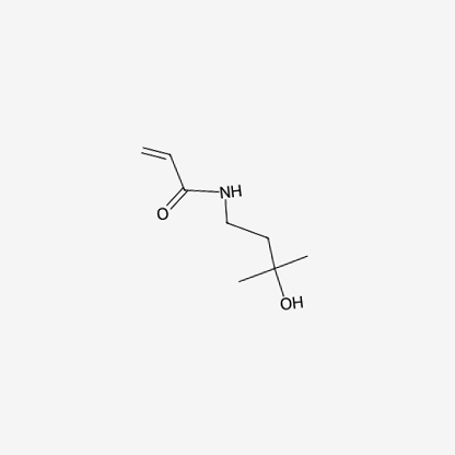 C=CC(=O)NCCC(C)(C)O